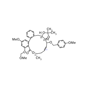 COCOc1cc(OC)cc2c1C(=O)O[C@@H](C)C/C=C\C(OCc1ccc(OC)cc1)[C@@H]1OC(C)(C)O[C@@H]1Cc1ccccc1-2